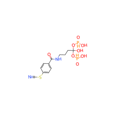 N#CSc1ccc(C(=O)NCCCC(O)(O[PH](=O)O)O[PH](=O)O)cc1